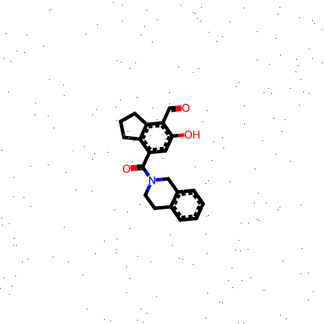 O=Cc1c(O)cc(C(=O)N2CCc3ccccc3C2)c2c1CCC2